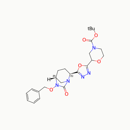 CC(C)(C)OC(=O)N1CCOC(c2nnc([C@@H]3CC[C@@H]4CN3C(=O)N4OCc3ccccc3)o2)C1